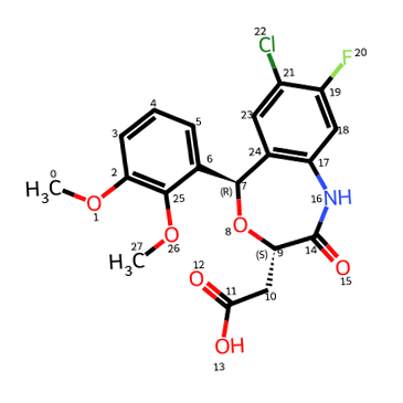 COc1cccc([C@@H]2O[C@@H](CC(=O)O)C(=O)Nc3cc(F)c(Cl)cc32)c1OC